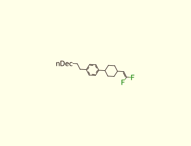 CCCCCCCCCCCCc1ccc(C2CCC(C=C(F)F)CC2)cc1